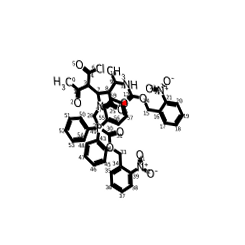 CC(=O)C(C(=O)Cl)C1C(C(C)NC(=O)OCc2ccccc2[N+](=O)[O-])C(=O)N1CP(C(=O)OCc1ccccc1[N+](=O)[O-])(c1ccccc1)(c1ccccc1)c1ccccc1